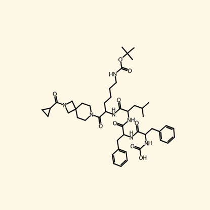 CC(C)CC(NC(=O)C(Cc1ccccc1)NC(=O)C(Cc1ccccc1)NC(=O)O)C(=O)NC(CCCCNC(=O)OC(C)(C)C)C(=O)N1CCC2(CC1)CN(C(=O)C1CC1)C2